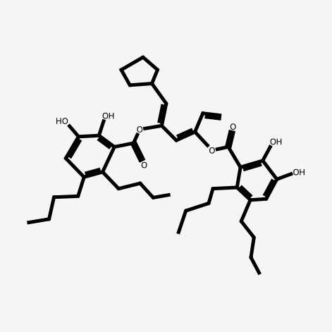 C=CC(=CC(=CC1CCCC1)OC(=O)c1c(O)c(O)cc(CCCC)c1CCCC)OC(=O)c1c(O)c(O)cc(CCCC)c1CCCC